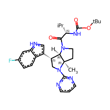 CC(C)[C@H](NC(=O)OC(C)(C)C)C(=O)N1CC[C@]2(C)[C@H]1[C@@H](c1c[nH]c3cc(F)ccc13)CN2c1ncccn1